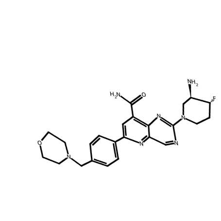 NC(=O)c1cc(-c2ccc(CN3CCOCC3)cc2)nc2cnc(N3CC[C@@H](F)[C@H](N)C3)nc12